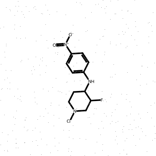 O=[N+]([O-])c1ccc(NC2CCN(Cl)CC2F)cc1